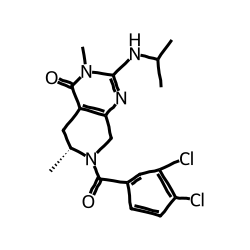 CC(C)Nc1nc2c(c(=O)n1C)C[C@@H](C)N(C(=O)c1ccc(Cl)c(Cl)c1)C2